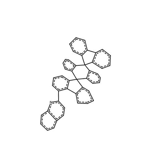 c1ccc2c(c1)-c1ccccc1C21c2ccccc2C2(c3ccccc3-c3c(-c4ccc5ccccc5n4)cccc32)c2ccccc21